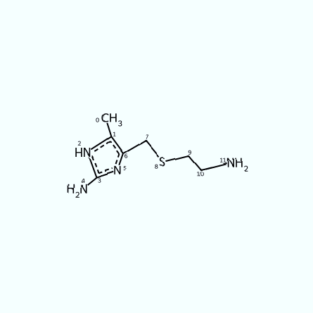 Cc1[nH]c(N)nc1CSCCN